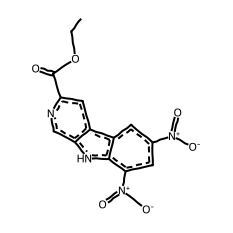 CCOC(=O)c1cc2c(cn1)[nH]c1c([N+](=O)[O-])cc([N+](=O)[O-])cc12